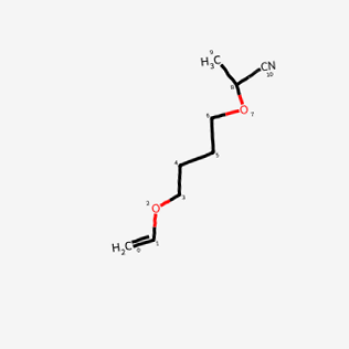 C=COCCCCOC(C)C#N